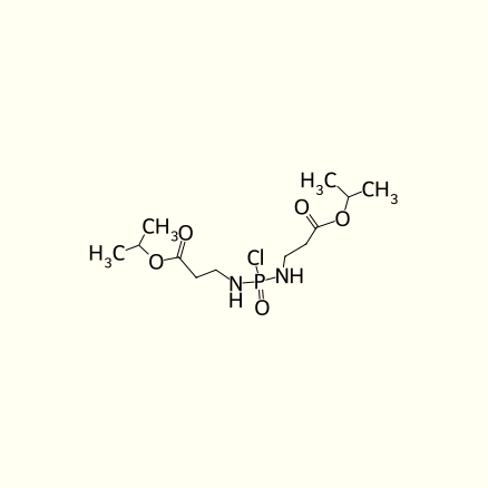 CC(C)OC(=O)CCNP(=O)(Cl)NCCC(=O)OC(C)C